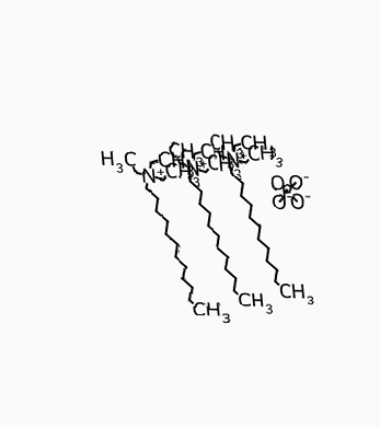 CCCCCCCCCCCC[N+](CC)(CC)CC.CCCCCCCCCCCC[N+](CC)(CC)CC.CCCCCCCCCCCC[N+](CC)(CC)CC.O=P([O-])([O-])[O-]